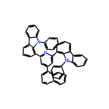 c1ccc(-n2c3ccccc3c3cccc(-c4cc(-c5cccc6ccccc56)cc(-c5cccc6c7ccccc7n(-c7ccccc7)c56)n4)c32)cc1